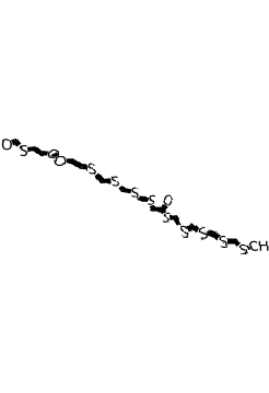 CSCSCSCSCSC(=O)CSCSCSCSCCOOCCSCO